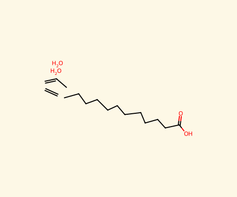 C=C.C=CC.CCCCCCCCCCCC(=O)O.O.O